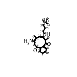 CC1=C(\N)CC(=O)c2ccccc2C(=O)C(C)/C(NCCC[N+](C)(C)C)=C\1